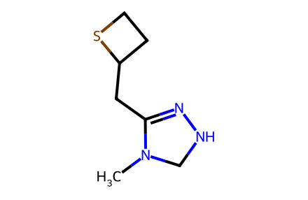 CN1CNN=C1CC1CCS1